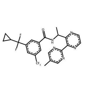 Cc1cnc(-c2nccnc2C(C)NC(=O)c2cc(C(F)(F)F)cc(C(F)(F)C3CC3)c2)nc1